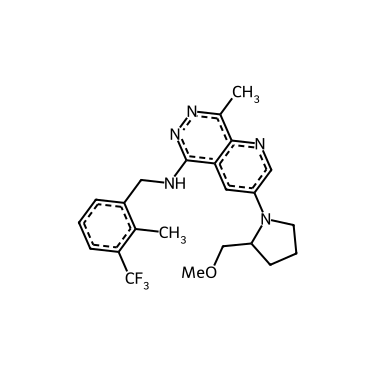 COCC1CCCN1c1cnc2c(C)nnc(NCc3cccc(C(F)(F)F)c3C)c2c1